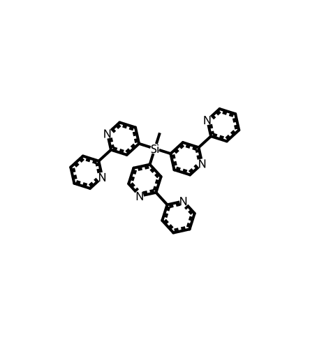 C[Si](c1ccnc(-c2ccccn2)c1)(c1ccnc(-c2ccccn2)c1)c1ccnc(-c2ccccn2)c1